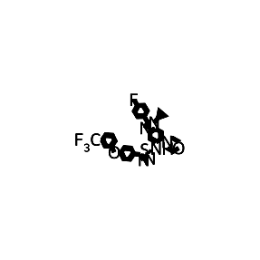 Fc1ccc(-c2nc3cc(Nc4nnc(-c5ccc(Oc6cccc(C(F)(F)F)c6)cc5)s4)c(N4CCOCC4)cc3n2C2CC2)cc1